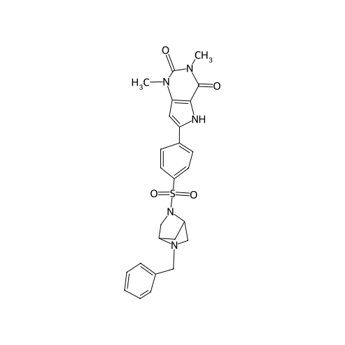 Cn1c(=O)c2[nH]c(-c3ccc(S(=O)(=O)N4CC5CC4CN5Cc4ccccc4)cc3)cc2n(C)c1=O